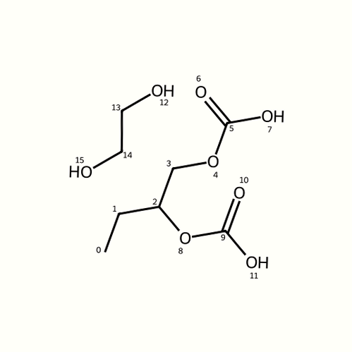 CCC(COC(=O)O)OC(=O)O.OCCO